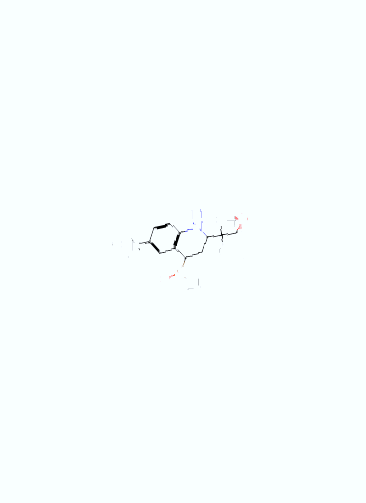 CC[S+]([O-])C1CC(C(C)(C)CO)Nc2ccc([N+](=O)[O-])cc21